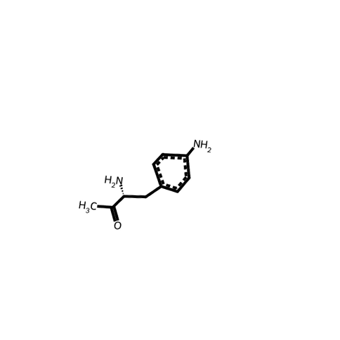 CC(=O)[C@H](N)Cc1ccc(N)cc1